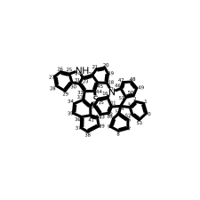 c1ccc(C2(c3ccccc3)c3ccccc3N(c3cccc4c5[nH]c6ccccc6c5c5c6ccc7ccccc7c6sc5c34)c3ccccc32)cc1